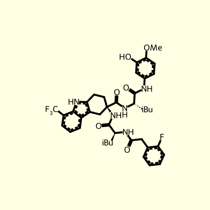 CCC(C)[C@H](NC(=O)Cc1ccccc1F)C(=O)N[C@]1(C(=O)N[C@H](C(=O)Nc2ccc(OC)c(O)c2)C(C)CC)CCc2[nH]c3c(C(F)(F)F)cccc3c2C1